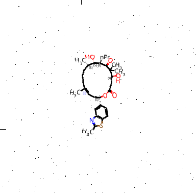 CCC[C@H]1C(=O)C(C)(C)[C@@H](O)CC(=O)O[C@H](c2ccc3sc(C)nc3c2)C/C=C(/C)CCC[C@H](C)[C@@H]1O